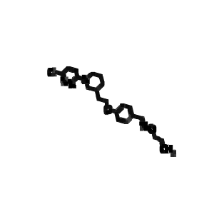 C=CCON=Cc1ccc(OCCC2CCCN(c3ccc(Cl)nn3)C2)cc1